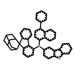 c1ccc(-c2ccc(N(c3ccc4sc5ccccc5c4c3)c3cccc4c3-c3ccccc3C43C4CC5CC(C4)CC3C5)c3ccccc23)cc1